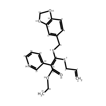 C=CCS/C(SCc1ccc2c(c1)OCO2)=C(\C(=O)OCC)c1cccnc1